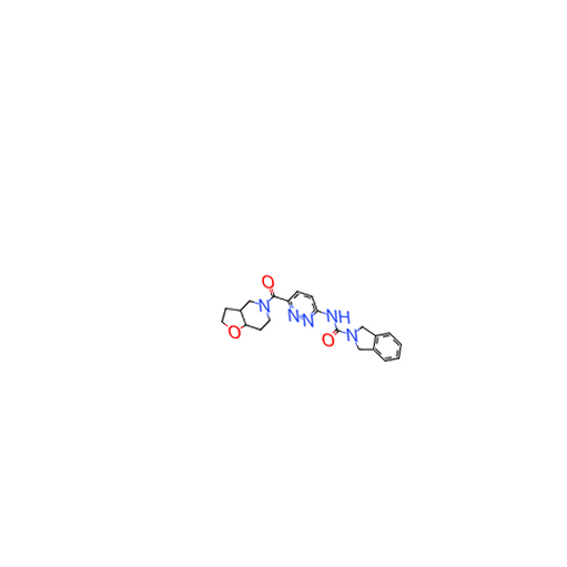 O=C(Nc1ccc(C(=O)N2CCC3OCCC3C2)nn1)N1Cc2ccccc2C1